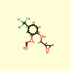 O=COc1cc(C(F)(F)F)ccc1OCC1CO1